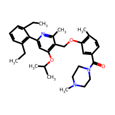 CCc1cccc(CC)c1-c1cc(OC(C)C)c(COc2cc(C(=O)N3CCN(C)CC3)ccc2C)c(C)n1